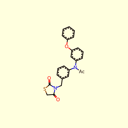 CC(=O)N(c1cccc(CN2C(=O)CSC2=O)c1)c1cccc(Oc2ccccc2)c1